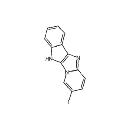 Ic1ccc2nc3c4ccccc4[nH]c3n2c1